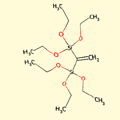 C=C([Si](OCC)(OCC)OCC)[Si](OCC)(OCC)OCC